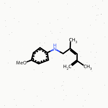 C=C(C)/C=C(/C)CNc1ccc(OC)cc1